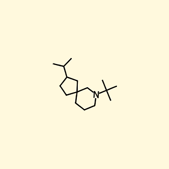 CC(C)C1CCC2(CCCN(C(C)(C)C)C2)C1